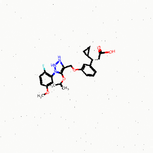 COc1ccc(F)c(N2NNC(COc3cccc([C@@H](CC(=O)O)C4CC4)c3)=C2OC(C)C)c1